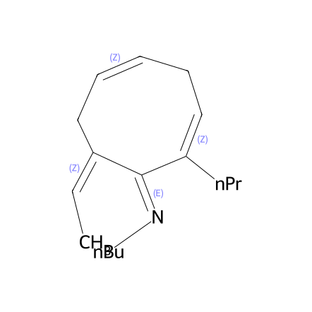 C/C=C1/C/C=C\C\C=C(CCC)/C1=N/CCCC